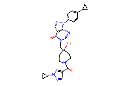 O=C(c1cnn(C2CC2)c1)N1CCC(O)(Cn2cnc3c(cnn3-c3ccc(C4CC4)cc3)c2=O)CC1